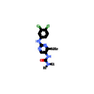 CCN(CC)C(=O)Nc1cnc(Nc2ccc(Cl)c(Cl)c2)nc1NC